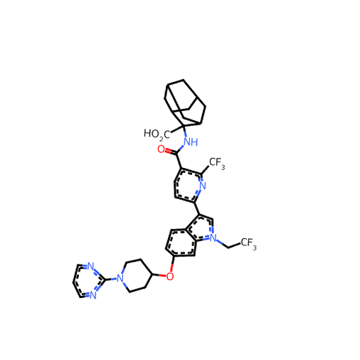 O=C(NC1(C(=O)O)C2CC3CC(C2)CC1C3)c1ccc(-c2cn(CC(F)(F)F)c3cc(OC4CCN(c5ncccn5)CC4)ccc23)nc1C(F)(F)F